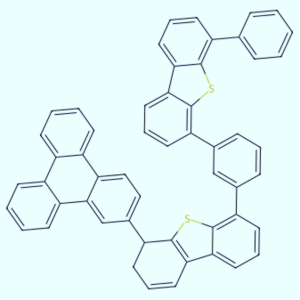 C1=Cc2c(sc3c(-c4cccc(-c5cccc6c5sc5c(-c7ccccc7)cccc56)c4)cccc23)C(c2ccc3c4ccccc4c4ccccc4c3c2)C1